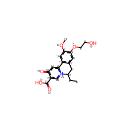 CCC1Cc2cc(OCCO)c(OC)cc2-c2cc(=O)c(C(=O)O)cn21